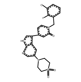 O=c1cc(-c2c[nH]c3ncc(N4CCS(=O)(=O)CC4)cc23)ccn1Cc1cccc(Cl)c1F